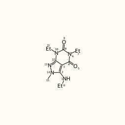 CCNc1c2c(=O)n(CC)c(=O)n(CC)c2nn1C